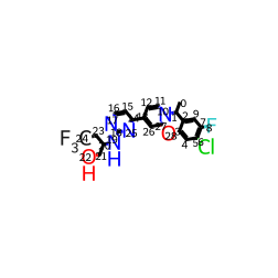 CC(c1ccc(Cl)c(F)c1)n1ccc(-c2ccnc(NC(CO)CC(F)(F)F)n2)cc1=O